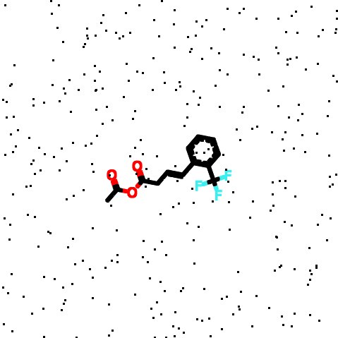 CC(=O)OC(=O)CC=Cc1ccccc1C(F)(F)F